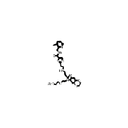 COCCOCCn1c(CCNCCc2nc(C(=O)NCc3ncccc3C)co2)nc2cc3c(cc21)OCCO3